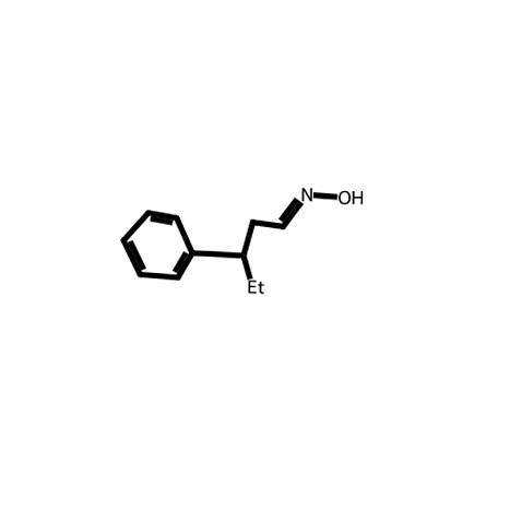 CCC(CC=NO)c1ccccc1